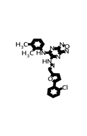 Cc1cccc(Nc2nc3nonc3nc2N/N=C/c2ccc(-c3ccccc3Cl)o2)c1C